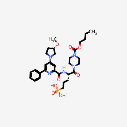 CCCCOC(=O)N1CCN(C(=O)[C@H](CCCP(=O)(O)O)NC(=O)c2cc(N3CC[C@H](OC)C3)cc(-c3ccccc3)n2)CC1